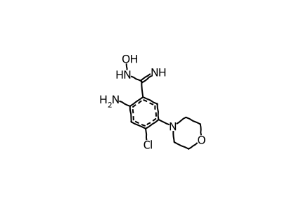 N=C(NO)c1cc(N2CCOCC2)c(Cl)cc1N